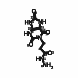 NNC(=O)CCn1c(=O)[nH]c2[nH]c(=O)[nH]c2c1=O